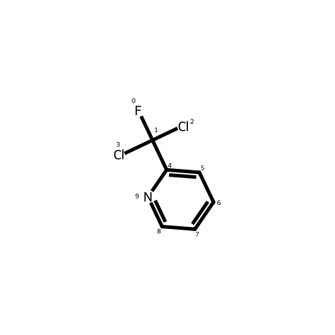 FC(Cl)(Cl)c1ccccn1